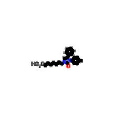 Cc1ccc(N2C(=O)N(CCCCCCCC(=O)O)CC2c2ccccc2)cc1